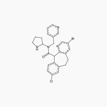 O=C(C1c2ccc(Cl)cc2CCc2cc(Br)cnc21)N(Cc1cccnc1)C1CCCN1